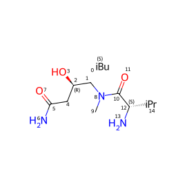 CC[C@H](C)C([C@H](O)CC(N)=O)N(C)C(=O)[C@@H](N)C(C)C